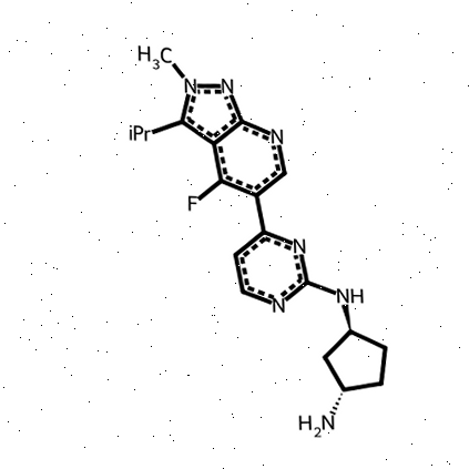 CC(C)c1c2c(F)c(-c3ccnc(N[C@H]4CC[C@H](N)C4)n3)cnc2nn1C